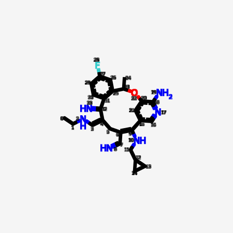 CCN/C=C1/C/C(C=N)=C(/NCC2CC2)c2cnc(N)c(c2)OC(C)c2cc(F)ccc2C1=N